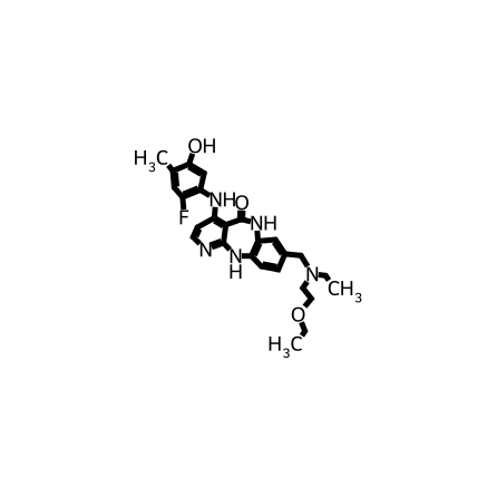 CCOCCN(CC)Cc1ccc2c(c1)NC(=O)c1c(Nc3cc(O)c(C)cc3F)ccnc1N2